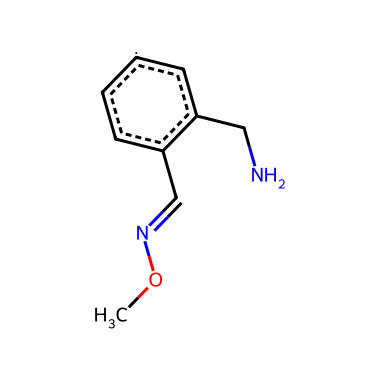 CON=Cc1cc[c]cc1CN